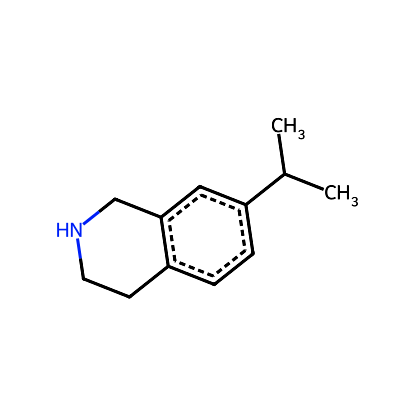 CC(C)c1ccc2c(c1)CNCC2